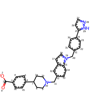 O=C(O)c1ccc(C2CCN(Cc3ccc4c(ccn4Cc4ccc(-c5ccn[nH]5)cc4)c3)CC2)cc1